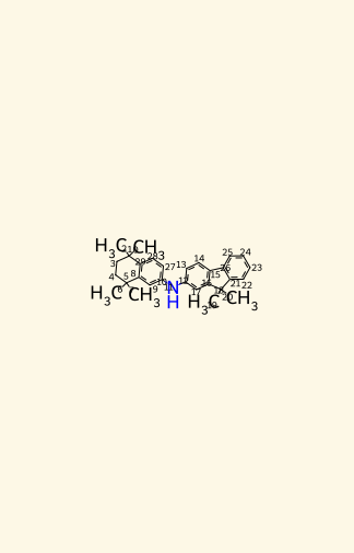 CC1(C)CCC(C)(C)c2cc(Nc3ccc4c(c3)C(C)(C)c3ccccc3-4)ccc21